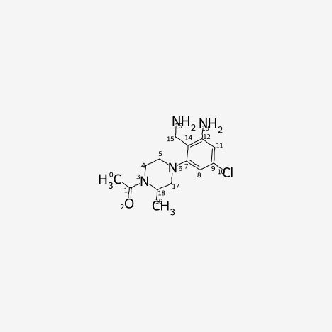 CC(=O)N1CCN(c2cc(Cl)cc(N)c2CN)CC1C